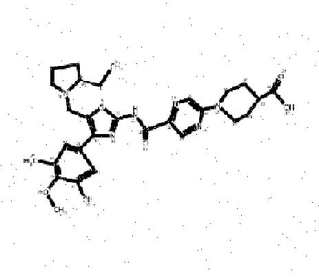 CC[C@@H]1CCCN1Cc1sc(NC(=O)c2cnc(N3CCC(C(=O)O)CC3)cn2)nc1-c1cc(C)c(OC)c(C)c1